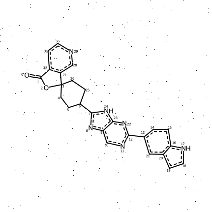 O=C1OC2(CCC(c3nc4cnc(-c5ccc6[nH]ccc6c5)nc4[nH]3)CC2)c2cnccc21